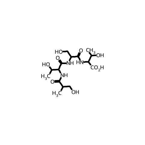 CC(CO)C(=O)NC(C(=O)NC(CO)C(=O)NC(C(=O)O)C(C)O)C(C)O